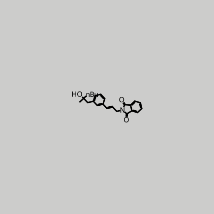 CCCCC(C)(O)Cc1cccc(C=CCN2C(=O)c3ccccc3C2=O)c1